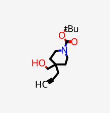 C#CCC1(CO)CCN(C(=O)OC(C)(C)C)CC1